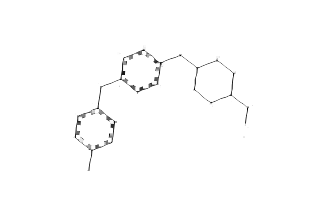 Cc1ccc(Cc2ccc(CC3CCC(CP)CC3)cc2)cc1